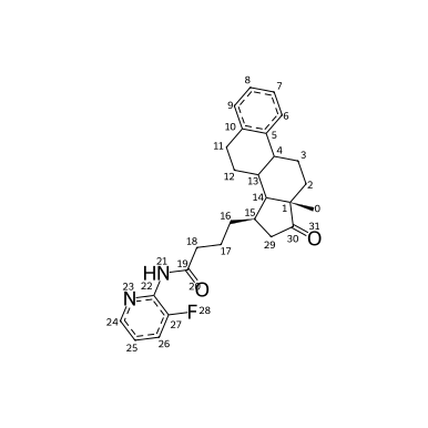 C[C@]12CCC3c4ccccc4CCC3C1[C@H](CCCC(=O)Nc1ncccc1F)CC2=O